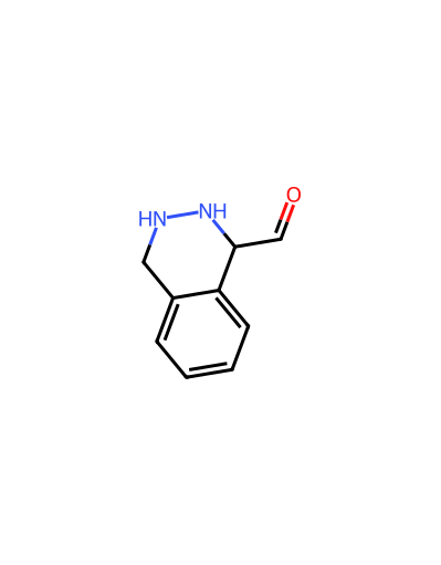 O=CC1NNCc2ccccc21